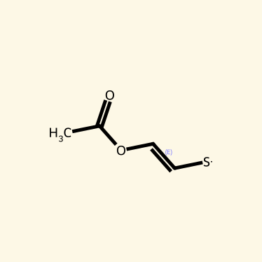 CC(=O)O/C=C/[S]